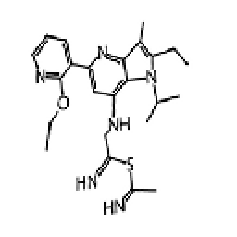 CCOc1ncccc1-c1cc(NCC(=N)SC(C)=N)c2c(n1)c(C)c(CC)n2C(C)C